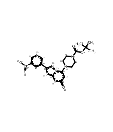 CC(C)(C)OC(=O)N1CCN(c2cc(=O)nc3sc(-c4cncc([N+](=O)[O-])c4)nn23)CC1